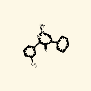 CC(C)n1cc(-c2ccccc2)c(=S)c(-c2cccc(C(F)(F)F)c2)n1